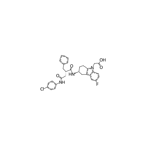 O=C(O)Cn1c2c(c3cc(F)ccc31)C[C@@H](NC(=O)[C@H](CC(=O)Nc1ccc(Cl)cc1)Cc1ccccc1)CC2